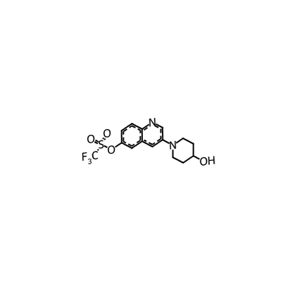 O=S(=O)(Oc1ccc2ncc(N3CCC(O)CC3)cc2c1)C(F)(F)F